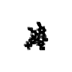 C#Cc1ccc(CNC(=O)[C@@H]2C[C@@H](O)CN2C(=O)[C@@H](NC(=O)OC(C)(C)C)C(C)(C)C)c(OCCCOC)c1